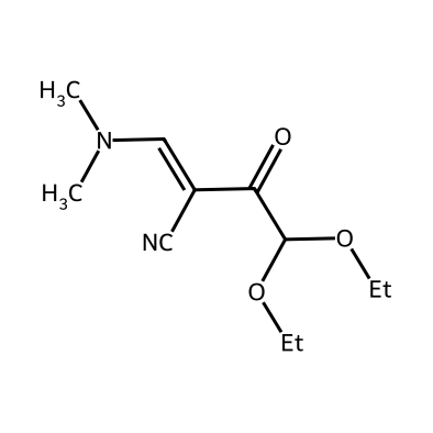 CCOC(OCC)C(=O)/C(C#N)=C/N(C)C